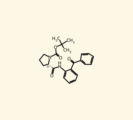 CC(C)(C)OC(=O)N1CCC[C@H]1C(=O)Nc1ccccc1C(=O)c1ccccc1